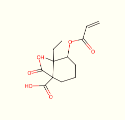 C=CC(=O)OC1CCCC(C(=O)O)(C(=O)O)C1(C)CC